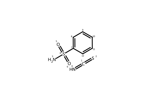 N=C=S.NS(=O)(=O)c1ccccc1